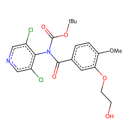 COc1ccc(C(=O)N(C(=O)OC(C)(C)C)c2c(Cl)cncc2Cl)cc1OCCO